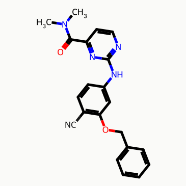 CN(C)C(=O)c1ccnc(Nc2ccc(C#N)c(OCc3ccccc3)c2)n1